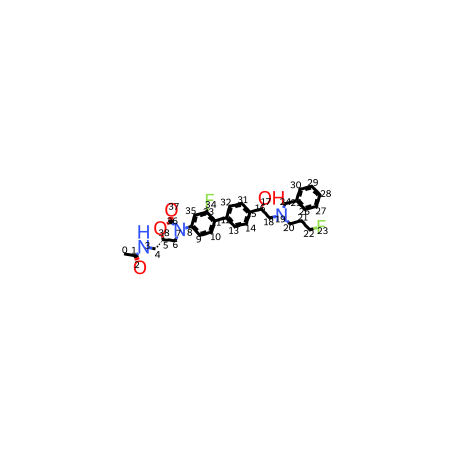 CC(=O)NC[C@H]1CN(c2ccc(-c3ccc([C@H](O)CN(CCCF)Cc4ccccc4)cc3)c(F)c2)C(=O)O1